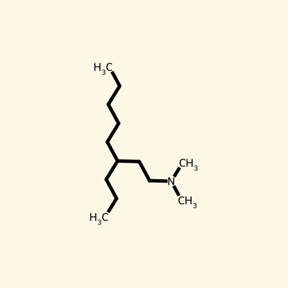 CCCCCC(CCC)CCN(C)C